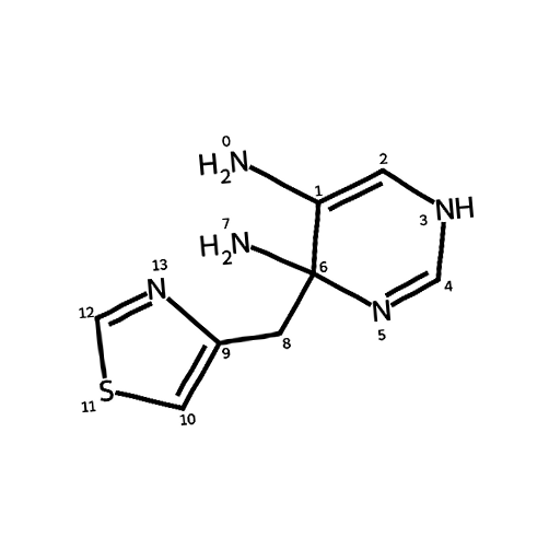 NC1=CNC=NC1(N)Cc1cscn1